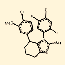 COc1cc(C2CCCc3nc(S)n(-c4cc(F)c(F)cc4F)c32)ccc1Cl